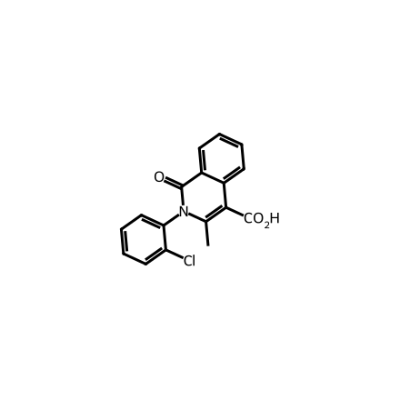 Cc1c(C(=O)O)c2ccccc2c(=O)n1-c1ccccc1Cl